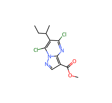 CCC(C)c1c(Cl)nc2c(C(=O)OC)cnn2c1Cl